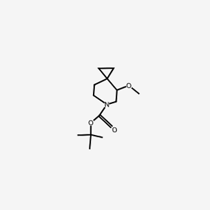 COC1CN(C(=O)OC(C)(C)C)CCC12CC2